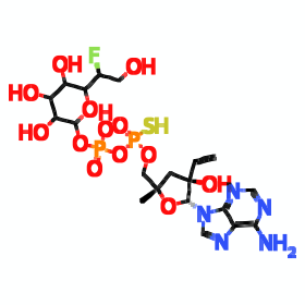 C=C[C@@]1(O)C[C@@](C)(COP(=O)(S)OP(=O)(O)OC2OC([C@@H](F)CO)C(O)C(O)C2O)O[C@H]1n1cnc2c(N)ncnc21